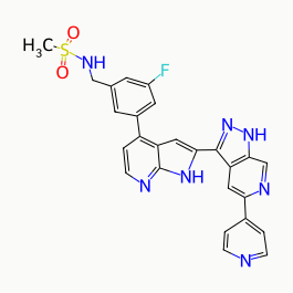 CS(=O)(=O)NCc1cc(F)cc(-c2ccnc3[nH]c(-c4n[nH]c5cnc(-c6ccncc6)cc45)cc23)c1